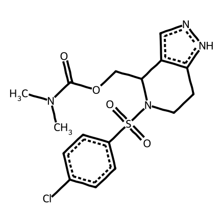 CN(C)C(=O)OCC1c2cn[nH]c2CCN1S(=O)(=O)c1ccc(Cl)cc1